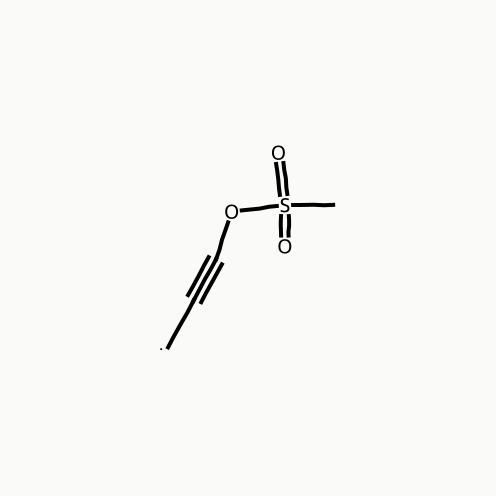 [CH2]C#COS(C)(=O)=O